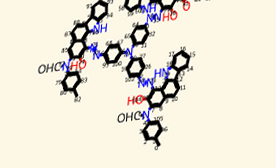 Cc1ccc(N(C=O)c2cc3ccc4c5ccccc5[nH]c4c3c(N=Nc3ccc(N(c4ccc(N=Nc5c(O)c(C(=O)Nc6ccc(C(F)(F)F)cc6)cc6ccc7c8ccccc8[nH]c7c56)cc4)c4ccc(N=Nc5c(O)c(N(C=O)c6ccc(C)cc6)cc6ccc7c8ccccc8[nH]c7c56)cc4)cc3)c2O)cc1